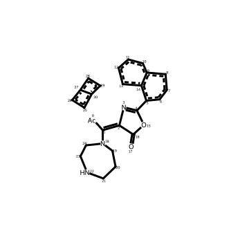 CC(=O)C(=C1N=C(c2cccc3ccccc23)OC1=O)N1CCCNCC1.c1cc2ccc1-2